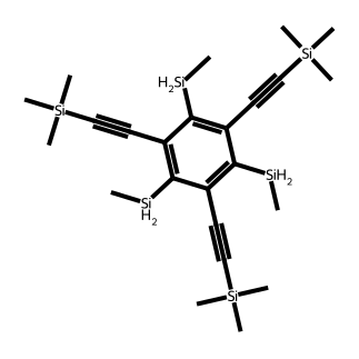 C[SiH2]c1c(C#C[Si](C)(C)C)c([SiH2]C)c(C#C[Si](C)(C)C)c([SiH2]C)c1C#C[Si](C)(C)C